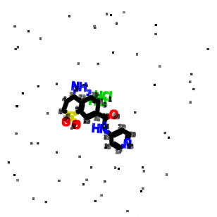 Cl.Cl.N[C@H]1CCS(=O)(=O)c2cc(C(=O)Nc3ccncc3)ccc21